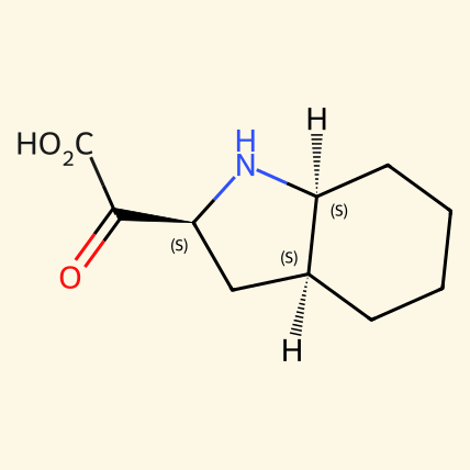 O=C(O)C(=O)[C@@H]1C[C@@H]2CCCC[C@@H]2N1